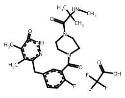 CNC(C)(C)C(=O)N1CCN(C(=O)c2cc(Cc3n[nH]c(=O)c(C)c3C)ccc2F)CC1.O=C(O)C(F)(F)F